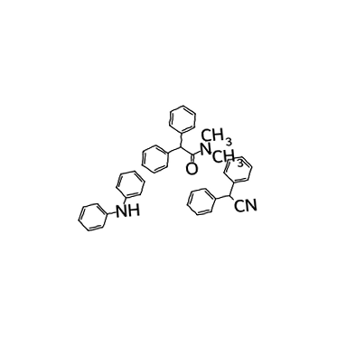 CN(C)C(=O)C(c1ccccc1)c1ccccc1.N#CC(c1ccccc1)c1ccccc1.c1ccc(Nc2ccccc2)cc1